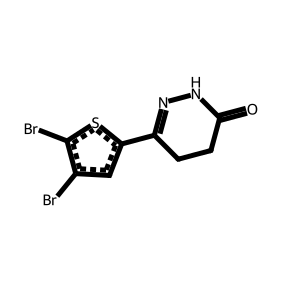 O=C1CCC(c2cc(Br)c(Br)s2)=NN1